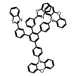 c1cc(-c2nc3ccccc3s2)cc(-c2cc(-c3ccc(N4c5ccccc5Oc5ccccc54)cc3)cc(-c3ccc(N4c5ccccc5Oc5ccccc54)cc3)c2-c2cccc(-c3nc4ccccc4s3)c2)c1